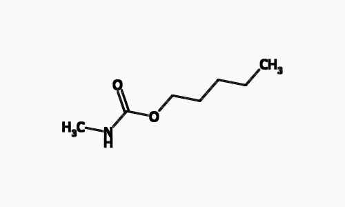 CCCCCOC(=O)NC